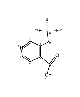 O=C(O)c1ccncc1CC(F)(F)F